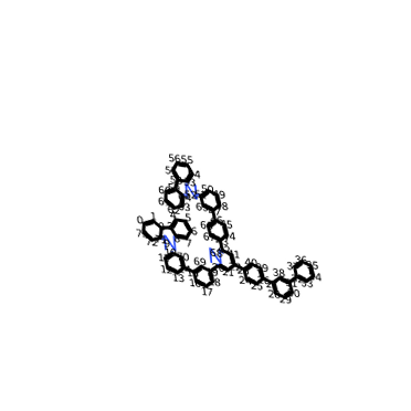 C1=CC2c3ccccc3N(c3cccc(-c4cccc(-c5cc(-c6ccc(-c7cccc(-c8ccccc8)c7)cc6)cc(-c6ccc(-c7cccc(-n8c9ccccc9c9ccccc98)c7)cc6)n5)c4)c3)C2C=C1